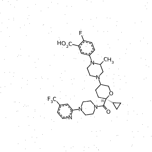 CC1CN(C2CC[C@@](C(=O)N3CCN(c4cc(C(F)(F)F)ccn4)CC3)(C3CC3)OC2)CCN1c1ccc(F)c(C(=O)O)c1